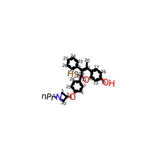 CCCN1CC(Oc2ccc([C@]3(S)Oc4cc(O)ccc4C(C)=C3c3ccccc3)cc2)C1